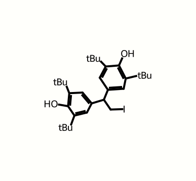 CC(C)(C)c1cc(C(CI)c2cc(C(C)(C)C)c(O)c(C(C)(C)C)c2)cc(C(C)(C)C)c1O